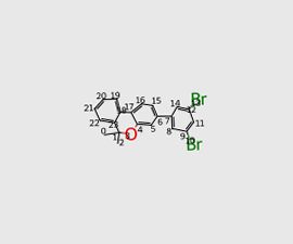 CC1(C)Oc2cc(-c3cc(Br)cc(Br)c3)ccc2-c2ccccc21